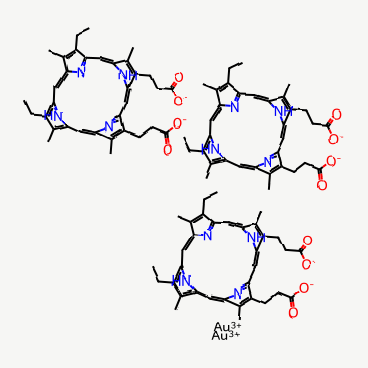 CCC1=C(C)c2cc3[nH]c(cc4nc(cc5[nH]c(cc1n2)c(C)c5CCC(=O)[O-])C(CCC(=O)[O-])=C4C)c(C)c3CC.CCC1=C(C)c2cc3[nH]c(cc4nc(cc5[nH]c(cc1n2)c(C)c5CCC(=O)[O-])C(CCC(=O)[O-])=C4C)c(C)c3CC.CCC1=C(C)c2cc3[nH]c(cc4nc(cc5[nH]c(cc1n2)c(C)c5CCC(=O)[O-])C(CCC(=O)[O-])=C4C)c(C)c3CC.[Au+3].[Au+3]